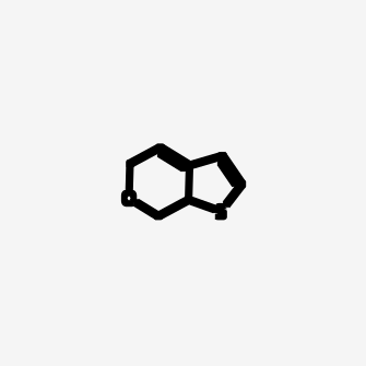 C1=CC2=CCOCC2S1